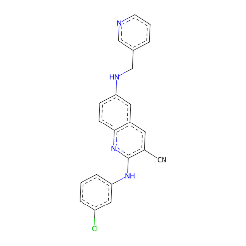 N#Cc1cc2cc(NCc3cccnc3)ccc2nc1Nc1cccc(Cl)c1